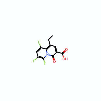 CCc1cc(C(=O)O)c(=O)n2c(F)c(F)cc(F)c12